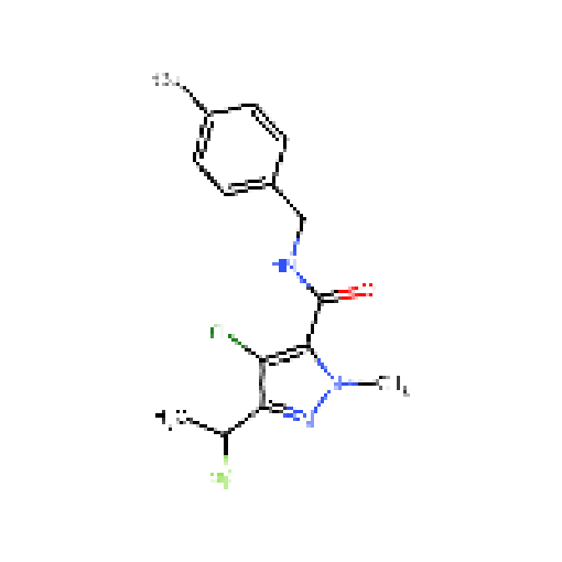 CC([18F])c1nn(C)c(C(=O)NCc2ccc(C(C)(C)C)cc2)c1Cl